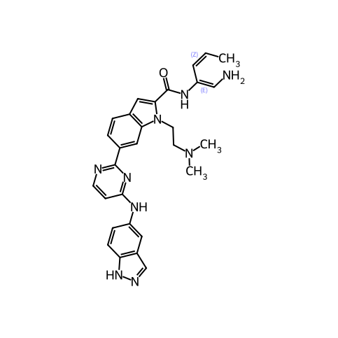 C/C=C\C(=C/N)NC(=O)c1cc2ccc(-c3nccc(Nc4ccc5[nH]ncc5c4)n3)cc2n1CCN(C)C